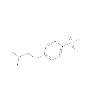 CC(C)COc1ccc(S(C)(=O)=O)cc1